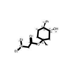 CCN(CC)CC(=O)O[C@]1(C)CC[C@@H](C(C)C)[C@H](O)C1